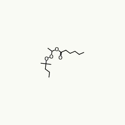 CCCCCC(=O)OC(C)OOC(C)(C)CCC